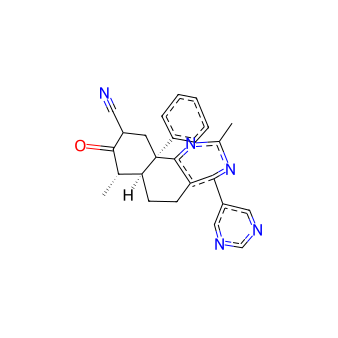 Cc1nc(-c2cncnc2)c2c(n1)[C@]1(c3ccccc3)CC(C#N)C(=O)[C@@H](C)[C@@H]1CC2